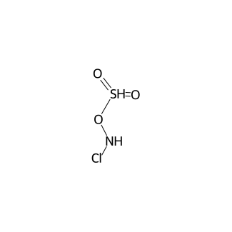 O=[SH](=O)ONCl